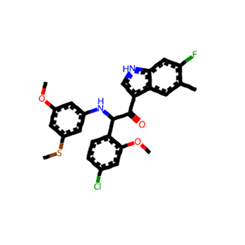 COc1cc(NC(C(=O)c2c[nH]c3cc(F)c(C)cc23)c2ccc(Cl)cc2OC)cc(SC)c1